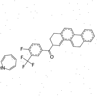 C1=CC=CNC=C1.O=C(c1ccc(F)c(C(F)(F)F)c1)C1C=c2c(ccc3c2=CCc2ccccc2-3)CC1